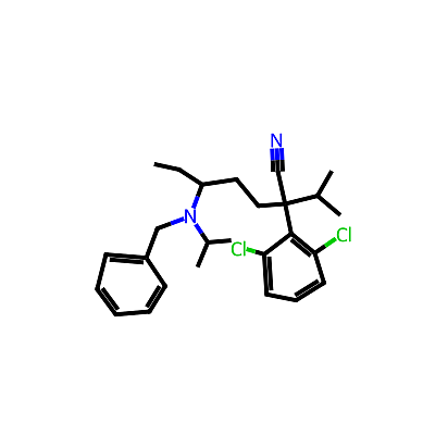 CCC(CCC(C#N)(c1c(Cl)cccc1Cl)C(C)C)N(Cc1ccccc1)C(C)C